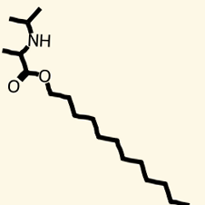 CCCCCCCCCCCCOC(=O)C(C)NC(C)C